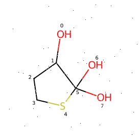 OC1CCSC1(O)O